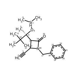 C#CC1C([C@](C)(O[SiH](C)C)C(C)(C)C)C(=O)N1Cc1ccccc1